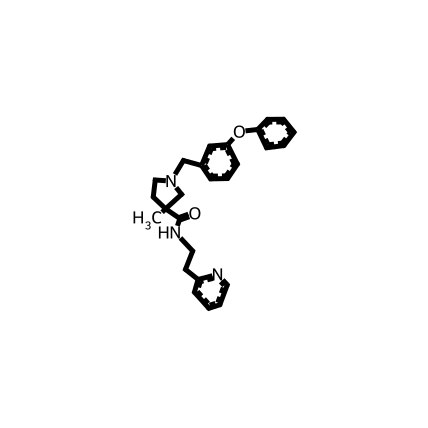 CC1(C(=O)NCCc2ccccn2)CCN(Cc2cccc(Oc3ccccc3)c2)C1